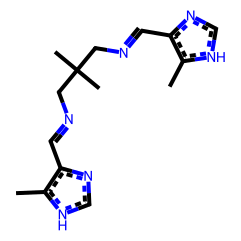 Cc1[nH]cnc1C=NCC(C)(C)CN=Cc1nc[nH]c1C